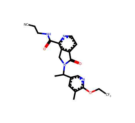 Cc1cc(C(C)N2Cc3c(ccnc3C(=O)NCCC#N)C2=O)cnc1OCC(F)(F)F